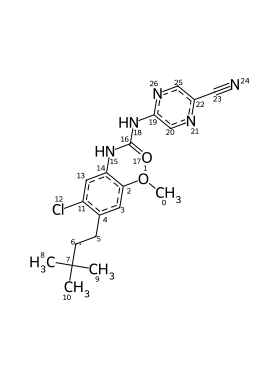 COc1cc(C[CH]C(C)(C)C)c(Cl)cc1NC(=O)Nc1cnc(C#N)cn1